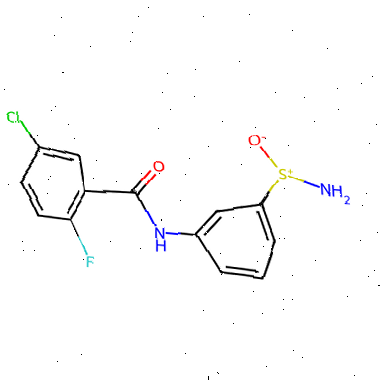 N[S+]([O-])c1cccc(NC(=O)c2cc(Cl)ccc2F)c1